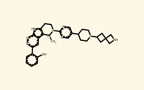 C[C@H]1c2c([nH]c3nnc(-c4ccccc4O)cc23)CCN1c1ncc(C2CCN(C3CC4(CNC4)C3)CC2)cn1